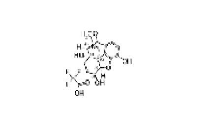 CN1CC[C@]23c4c5ccc(O)c4O[C@H]2[C@@H](O)C=C[C@@]3(O)[C@H]1C5=O.O=C(O)C(F)(F)F